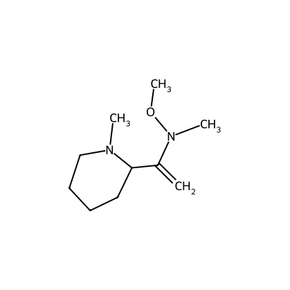 C=C(C1CCCCN1C)N(C)OC